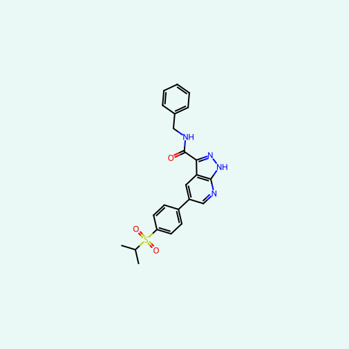 CC(C)S(=O)(=O)c1ccc(-c2cnc3[nH]nc(C(=O)NCc4ccccc4)c3c2)cc1